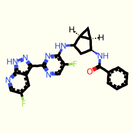 O=C(N[C@H]1CC(Nc2nc(-c3n[nH]c4ncc(F)cc34)ncc2F)[C@H]2C[C@@H]12)c1ccccc1